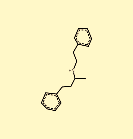 CC(CCc1ccccc1)NCCc1ccccc1